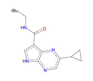 CC(C)(C)CNC(=O)c1c[nH]c2ncc(C3CC3)nc12